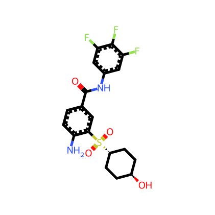 Nc1ccc(C(=O)Nc2cc(F)c(F)c(F)c2)cc1S(=O)(=O)[C@H]1CC[C@H](O)CC1